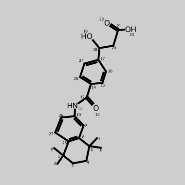 CC1(C)CCC(C)(C)c2cc(NC(=O)c3ccc(C(O)CC(=O)O)cc3)ccc21